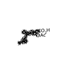 CC(=O)OCCCC(NC(=O)c1cc(OCC(=O)N2CCCC2C(=O)NC2CCC2)n(-c2ccccc2)n1)C(=O)N1CCN(C(=O)O)CC1